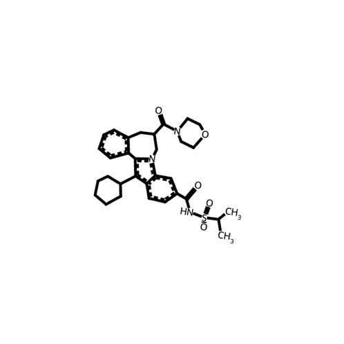 CC(C)S(=O)(=O)NC(=O)c1ccc2c(C3CCCCC3)c3n(c2c1)CC(C(=O)N1CCOCC1)Cc1ccccc1-3